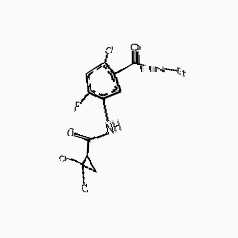 CCNC(=O)c1cc(NC(=O)C2CC2(Cl)Cl)c(F)cc1Cl